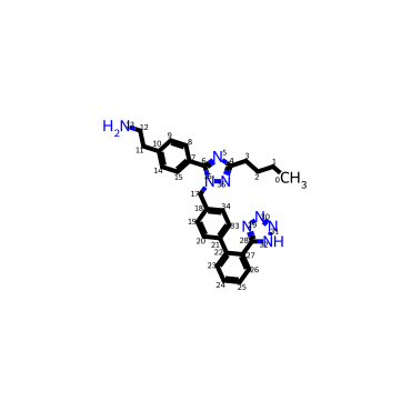 CCCCc1nc(-c2ccc(CCN)cc2)n(Cc2ccc(-c3ccccc3-c3nnn[nH]3)cc2)n1